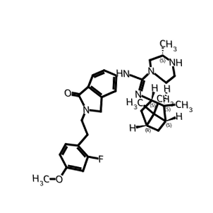 COc1ccc(CCN2Cc3cc(NC(=N[C@H]4C[C@H]5C[C@@H]([C@@H]4C)C5(C)C)N4CCN[C@@H](C)C4)ccc3C2=O)c(F)c1